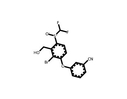 N#Cc1cccc(Oc2ccc([S+]([O-])C(F)F)c(CO)c2Br)c1